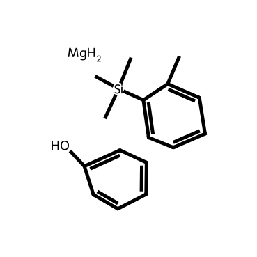 Cc1ccccc1[Si](C)(C)C.Oc1ccccc1.[MgH2]